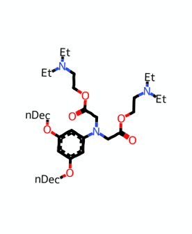 CCCCCCCCCCOc1cc(OCCCCCCCCCC)cc(N(CC(=O)OCCN(CC)CC)CC(=O)OCCN(CC)CC)c1